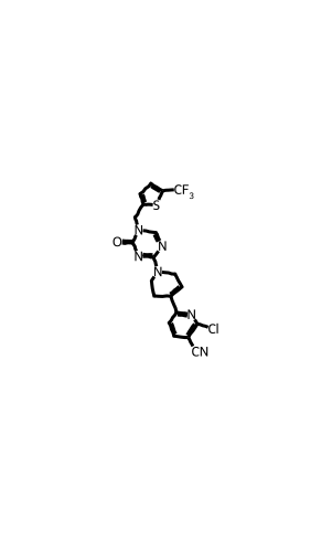 N#Cc1ccc(C2=CCN(c3ncn(Cc4ccc(C(F)(F)F)s4)c(=O)n3)CC2)nc1Cl